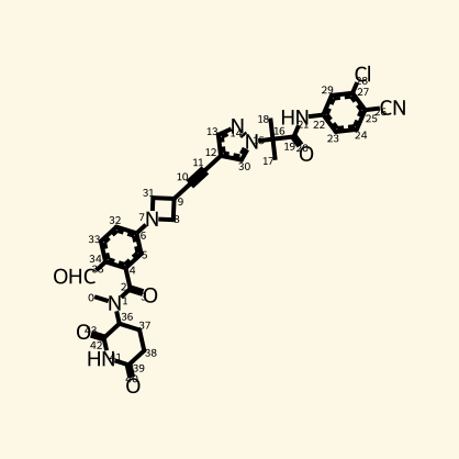 CN(C(=O)c1cc(N2CC(C#Cc3cnn(C(C)(C)C(=O)Nc4ccc(C#N)c(Cl)c4)c3)C2)ccc1C=O)C1CCC(=O)NC1=O